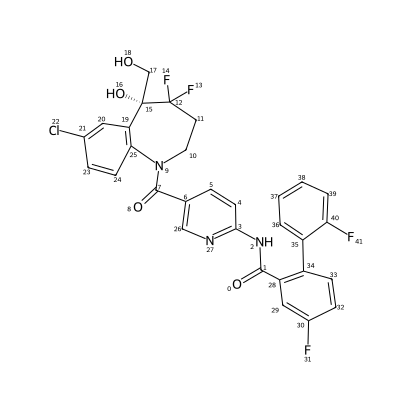 O=C(Nc1ccc(C(=O)N2CCC(F)(F)[C@](O)(CO)c3cc(Cl)ccc32)cn1)c1cc(F)ccc1-c1ccccc1F